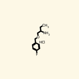 CCC(N)COCc1ccc(F)cc1.Cl